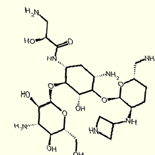 NC[C@@H]1CC[C@@H](NC2CNC2)[C@@H](OC2[C@@H](N)C[C@@H](NC(=O)[C@@H](O)CN)[C@H](O[C@H]3O[C@H](CO)[C@@H](O)[C@H](N)[C@H]3O)[C@H]2O)O1